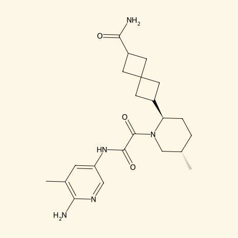 Cc1cc(NC(=O)C(=O)N2C[C@@H](C)CC[C@@H]2C2CC3(CC(C(N)=O)C3)C2)cnc1N